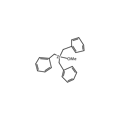 C[O][Zr]([CH2]c1ccccc1)([CH2]c1ccccc1)[CH2]c1ccccc1